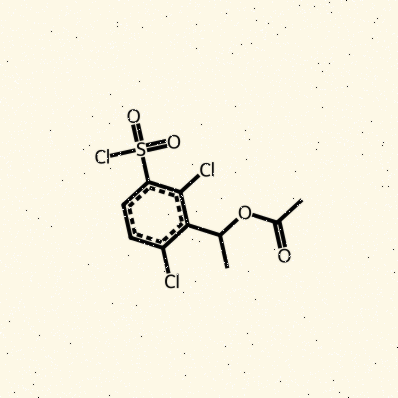 CC(=O)OC(C)c1c(Cl)ccc(S(=O)(=O)Cl)c1Cl